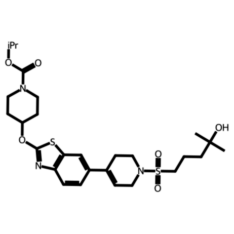 CC(C)OC(=O)N1CCC(Oc2nc3ccc(C4=CCN(S(=O)(=O)CCCC(C)(C)O)CC4)cc3s2)CC1